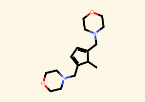 CC1C(CN2CCOCC2)=CC=C1CN1CCOCC1